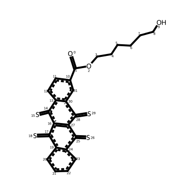 O=C(OCCCCCCO)c1ccc2c(=S)c3c(=S)c4ccccc4c(=S)c=3c(=S)c2c1